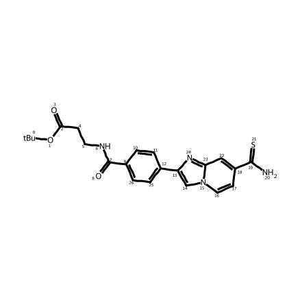 CC(C)(C)OC(=O)CCNC(=O)c1ccc(-c2cn3ccc(C(N)=S)cc3n2)cc1